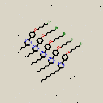 CCCCCCCCCc1cnc(-c2ccc(OCCCCCBr)cc2)nc1.CCCCCCc1cnc(-c2ccc(OCCCCCBr)cc2)nc1.CCCCCc1cnc(-c2ccc(OCCCCCBr)cc2)nc1.CCCCc1cnc(-c2ccc(OCCCCCBr)cc2)nc1.CCCc1cnc(-c2ccc(OCCCCCBr)cc2)nc1